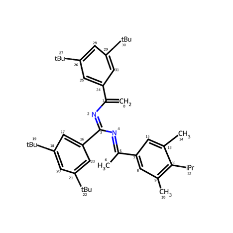 C=C(/N=C(\N=C(/C)c1cc(C)c(C(C)C)c(C)c1)c1cc(C(C)(C)C)cc(C(C)(C)C)c1)c1cc(C(C)(C)C)cc(C(C)(C)C)c1